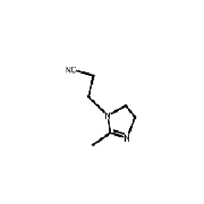 CC1=NCCN1CCC#N